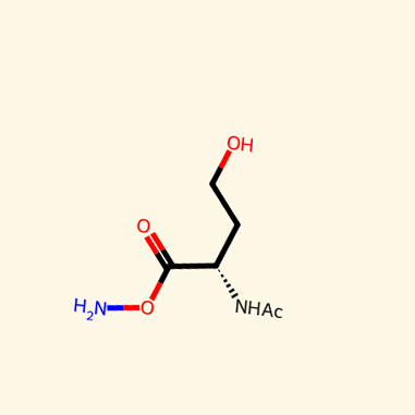 CC(=O)N[C@@H](CCO)C(=O)ON